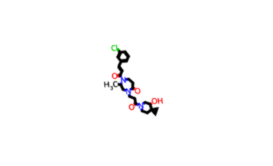 CC1CN(CCC(=O)N2CCC3(CC3)C(O)C2)C(=O)CCN1C(=O)C=Cc1cccc(Cl)c1